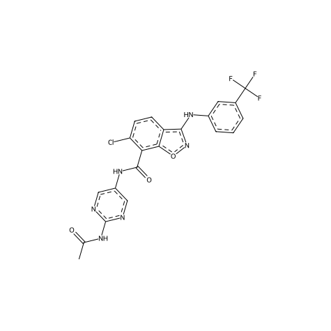 CC(=O)Nc1ncc(NC(=O)c2c(Cl)ccc3c(Nc4cccc(C(F)(F)F)c4)noc23)cn1